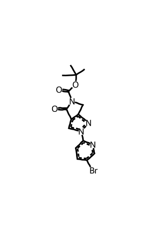 CC(C)(C)OC(=O)N1Cc2nn(-c3ccc(Br)cn3)cc2C1=O